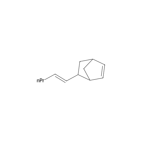 CCCC=CC1CC2C=CC1C2